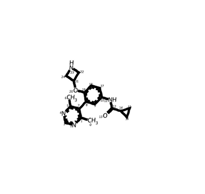 Cc1ncnc(C)c1-c1cc(NC(=O)C2CC2)ccc1OC1CNC1